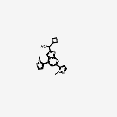 Cn1nccc1-c1cc(-c2ccnn2C)c2cc(C(O)C3CCC3)sc2n1